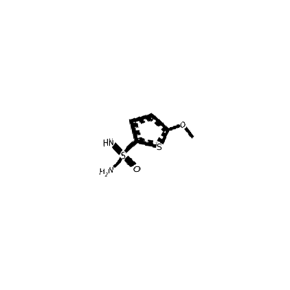 COc1ccc(S(=N)(N)=O)s1